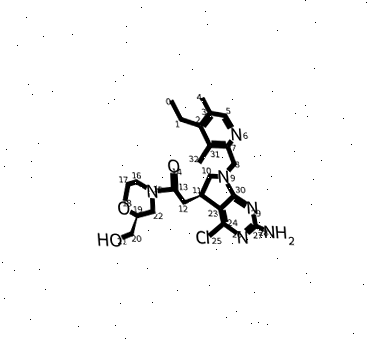 CCc1c(C)cnc(CN2C[C@H](CC(=O)N3CCO[C@H](CO)C3)c3c(Cl)nc(N)nc32)c1C